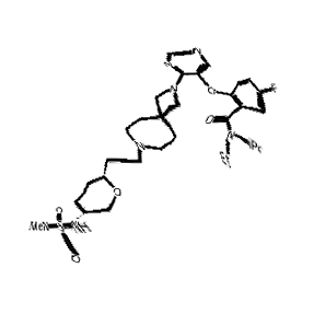 CCN(C(=O)c1cc(F)ccc1Oc1cncnc1N1CC2(CCN(CC[C@@H]3CC[C@@H](NS(=O)(=O)NC)CO3)CC2)C1)C(C)C